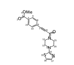 COC(=O)c1ccc(C#CC(=O)N2CCN(c3nccs3)CC2)cc1